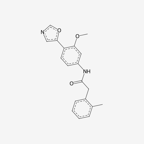 COc1cc(NC(=O)Cc2ccccc2C)ccc1-c1cnco1